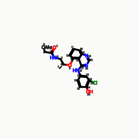 COCC(=O)NC[C@@H](C)Oc1cccc2ncnc(Nc3ccc(O)c(Cl)c3)c12